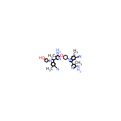 Cc1cc2c(cc1C#N)c(-c1cnc(O[C@H]3CC[C@H](n4cc(-c5cncc(N)c5C)c5cc(C#N)c(C)cc54)CC3)c(N)c1C)cn2[C@@H]1CC[C@@H](O)C1